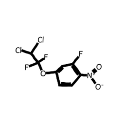 O=[N+]([O-])c1ccc(OC(F)(F)C(Cl)Cl)cc1F